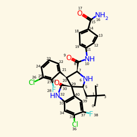 CC(C)(C)C[C@@H]1N[C@H](C(=O)Nc2ccc(C(N)=O)cc2)[C@H](c2cccc(Cl)c2F)[C@]12C(=O)Nc1cc(Cl)c(F)cc12